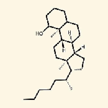 CCCCC[C@@H](C)[C@H]1CC[C@H]2[C@@H]3CCC4CCCC(O)[C@]4(C)[C@H]3CC[C@]12C